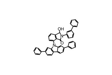 O=C1c2c(cccc2-n2c3cc(-c4ccccc4)ccc3c3ccc(-c4ccccc4)cc32)C(O)N1c1cccc(-c2ccccc2)c1